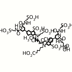 CC1(C)C(/C=C/C=C2/N(CCCCCC(=O)O)c3cc(S(=O)(=O)O)c4cc(-c5cc(C(=O)NCCS(=O)O)nc(C(=O)NCCS(=O)(=O)O)c5)ccc4c3C2(C)C)=[N+](CCCS(=O)(=O)O)c2cc(S(=O)(=O)O)c3cc(-c4cc(C(=O)NCCS(=O)(=O)O)nc(C(=O)NCCS(=O)(=O)O)c4)ccc3c21